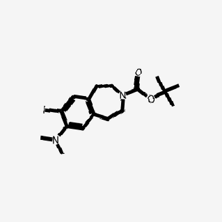 CN(C)c1cc2c(cc1I)CCN(C(=O)OC(C)(C)C)CC2